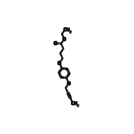 CC#CCOc1ccc(OCCCC(=O)OCC)cc1